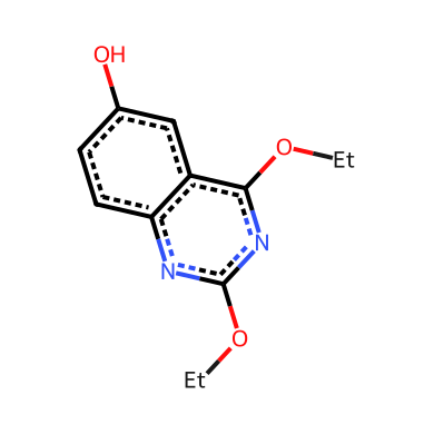 CCOc1nc(OCC)c2cc(O)ccc2n1